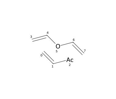 C=CC(C)=O.C=COC=C